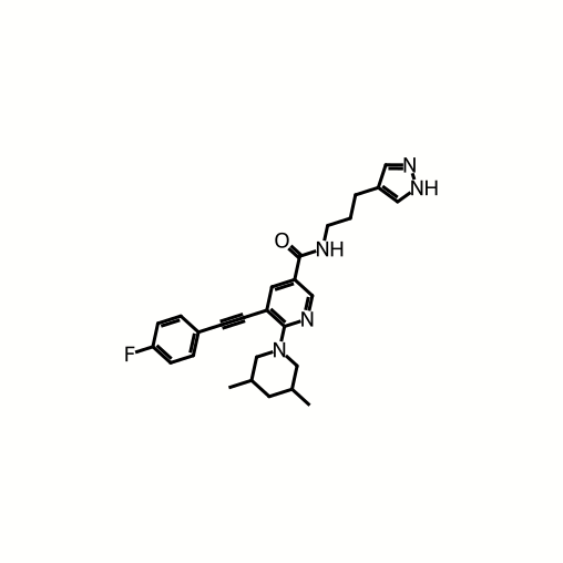 CC1CC(C)CN(c2ncc(C(=O)NCCCc3cn[nH]c3)cc2C#Cc2ccc(F)cc2)C1